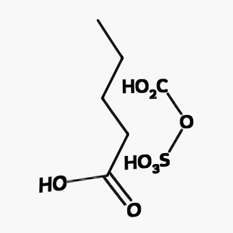 CCCCC(=O)O.O=C(O)OS(=O)(=O)O